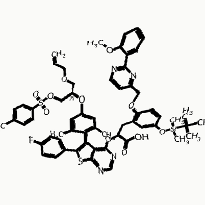 C=CCOC[C@H](COS(=O)(=O)c1ccc(C)cc1)Oc1cc(C)c(-c2c(-c3ccc(F)cc3)sc3ncnc(OC(Cc4cc(O[Si](C)(C)C(C)(C)C)ccc4OCc4ccnc(-c5ccccc5OC)n4)C(=O)O)c23)c(C)c1